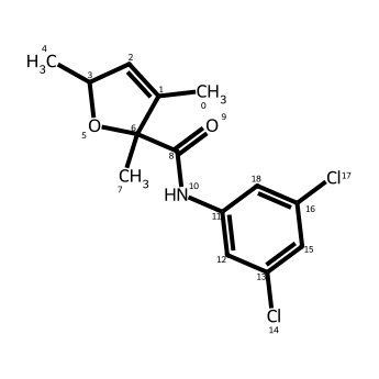 CC1=CC(C)OC1(C)C(=O)Nc1cc(Cl)cc(Cl)c1